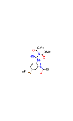 CCCSc1ccc(NC(=N)N(C(=O)OC)C(=O)OC)c(NC(=O)CC)c1